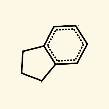 [c]1ccc2c(c1)CC[CH]2